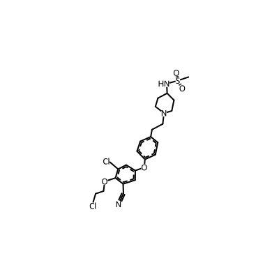 CS(=O)(=O)NC1CCN(CCc2ccc(Oc3cc(Cl)c(OCCCl)c(C#N)c3)cc2)CC1